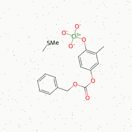 CSC.Cc1cc(OC(=O)OCc2ccccc2)ccc1O[Cl+3]([O-])([O-])[O-]